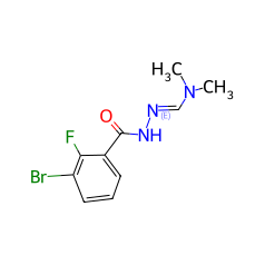 CN(C)/C=N/NC(=O)c1cccc(Br)c1F